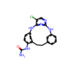 NC(=O)Nc1ccc2cc1CCc1cccc(c1)Nc1ncc(Cl)c(n1)N2